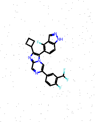 Fc1ccc(-c2cn3c(-c4ccc5[nH]ncc5c4F)c(C4CCC4)nc3cn2)cc1C(F)F